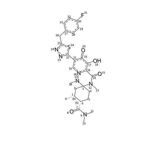 C[C@@H]1CC2(CC[C@@H]1C(=O)N(C)C)N(C)C(=O)c1c(O)c(=O)c(-c3nnc(Cc4ccc(F)cc4)s3)cn1N2C